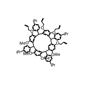 C=CCOc1cc(OC)c2cc1C(c1ccc(C(C)C)cc1)c1cc(c(OCC=C)cc1OCC=C)C(c1ccc(C(C)C)cc1)c1cc(c(OC)cc1OCC=C)C(c1ccc(C(C)C)cc1)c1cc(c(OC)cc1OC)C2c1ccc(C(C)C)cc1